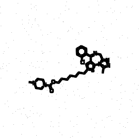 Cc1nnc2n1-c1sc(CCCCCCCOC(=O)N3CCN(C)CC3)cc1C(c1ccccc1Cl)=NC2